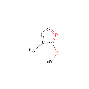 CCCOc1occc1C